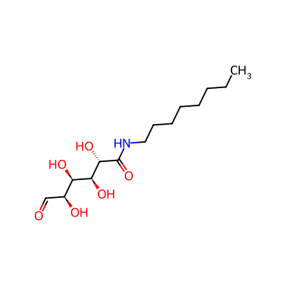 CCCCCCCCNC(=O)[C@@H](O)[C@@H](O)[C@H](O)[C@@H](O)C=O